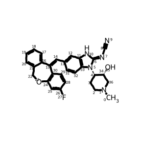 CN1CC[C@H](n2c(=NC#N)[nH]c3cc(C=C4c5ccccc5COc5cc(F)ccc54)ccc32)[C@H](O)C1